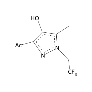 CC(=O)c1nn(CC(F)(F)F)c(C)c1O